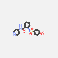 COc1ccc(S(=O)(=O)Nc2ccccc2C(=O)Nc2ccncc2)cc1